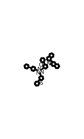 c1ccc(-c2ccc(-c3nc(-c4ccc5sc6ccccc6c5c4)nc(-c4ccc(-n5c6cc7ccccc7cc6c6c7ccccc7ccc65)c5c4oc4ccccc45)n3)cc2)cc1